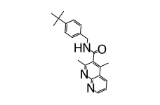 Cc1nc2ncccc2c(C)c1C(=O)NCc1ccc(C(C)(C)C)cc1